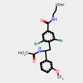 CCCCCCCCCCCCNC(=O)c1cc(Br)c(CC(NC(=O)C(=O)O)c2cccc(OC(F)(F)F)c2)c(Br)c1